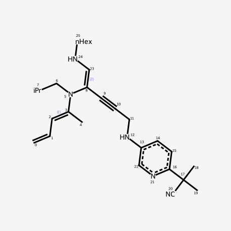 C=C/C=C(\C)N(CC(C)C)/C(C#CCNc1ccc(C(C)(C)C#N)nc1)=C\NCCCCCC